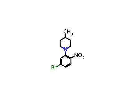 CC1CCN(c2cc(Br)ccc2[N+](=O)[O-])CC1